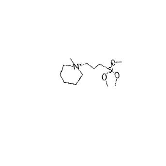 CO[Si](CCC[N+]1(C)CCCCC1)(OC)OC